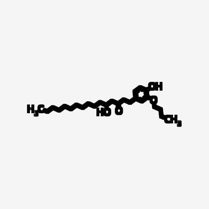 CCCCCCCCCCCC(O)CC(=O)CCc1ccc(O)c(OCCCC)c1